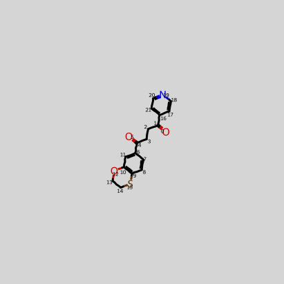 O=C(CCC(=O)c1ccc2c(c1)OCCS2)c1ccncc1